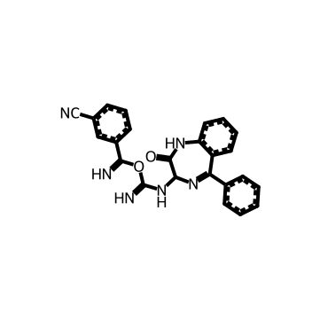 N#Cc1cccc(C(=N)OC(=N)NC2N=C(c3ccccc3)c3ccccc3NC2=O)c1